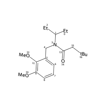 CCC(CC)N(Cc1cccc(OC)c1OC)C(=O)CC(C)(C)C